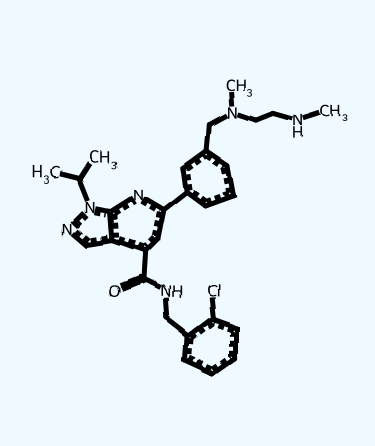 CNCCN(C)Cc1cccc(-c2cc(C(=O)NCc3ccccc3Cl)c3cnn(C(C)C)c3n2)c1